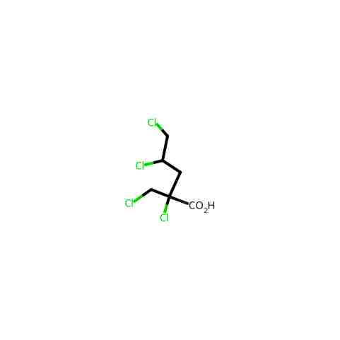 O=C(O)C(Cl)(CCl)CC(Cl)CCl